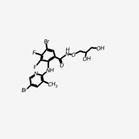 Cc1cc(Br)cnc1Nc1c(C(=O)NOCC(O)CO)cc(Br)c(F)c1F